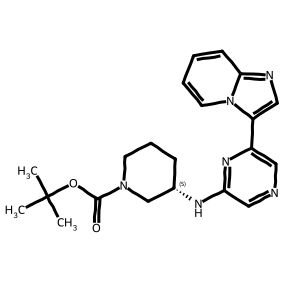 CC(C)(C)OC(=O)N1CCC[C@H](Nc2cncc(-c3cnc4ccccn34)n2)C1